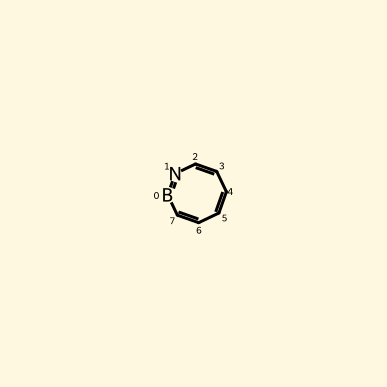 B1=NC=CC=CC=C1